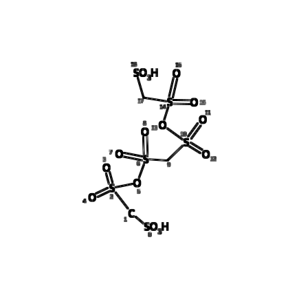 O=S(=O)(O)CS(=O)(=O)OS(=O)(=O)CS(=O)(=O)OS(=O)(=O)CS(=O)(=O)O